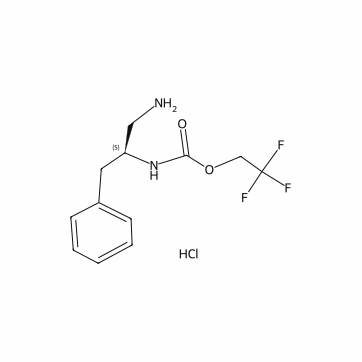 Cl.NC[C@H](Cc1ccccc1)NC(=O)OCC(F)(F)F